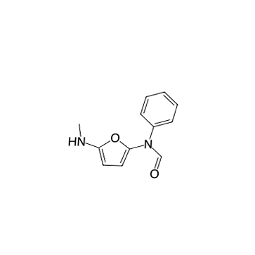 CNc1ccc(N(C=O)c2ccccc2)o1